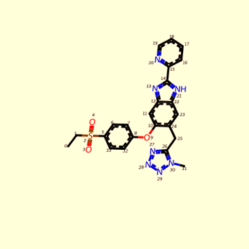 CCS(=O)(=O)c1ccc(Oc2cc3nc(-c4ccccn4)[nH]c3cc2Cc2nnnn2C)cc1